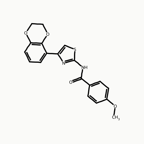 COc1ccc(C(=O)Nc2nc(-c3cccc4c3OCCO4)cs2)cc1